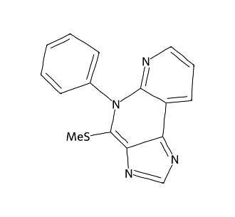 CSc1c2ncnc-2c2cccnc2n1-c1ccccc1